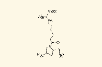 CCCCCC(CCCC)NCCCCCC(=O)N1CC(C)C[C@H]1CO